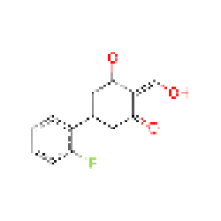 O=C1CC(c2ccccc2F)CC(=O)C1=CO